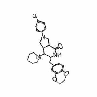 O=C1NC(Cc2ccc3c(c2)OCCO3)C(N2CCCCC2)C2CN(c3ccc(Cl)cc3)CC12